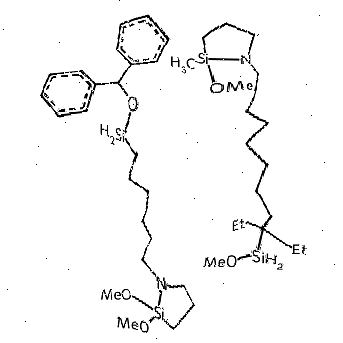 CCC(CC)(CCCCCCCN1CCC[Si]1(C)OC)[SiH2]OC.CO[Si]1(OC)CCCN1CCCCCC[SiH2]OC(c1ccccc1)c1ccccc1